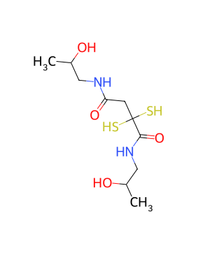 CC(O)CNC(=O)CC(S)(S)C(=O)NCC(C)O